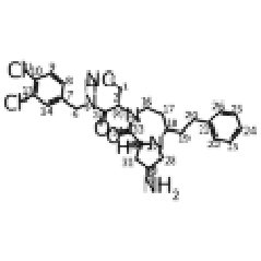 N#CC[C@H](C(=O)NCc1ccc(Cl)c(Cl)c1)N1CCC(CCc2ccccc2)N2C[C@H](N)C[C@H]2C1=O